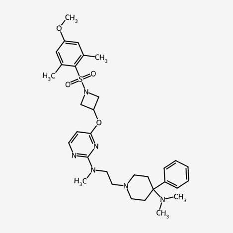 COc1cc(C)c(S(=O)(=O)N2CC(Oc3ccnc(N(C)CCN4CCC(c5ccccc5)(N(C)C)CC4)n3)C2)c(C)c1